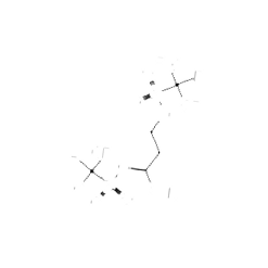 CC(CCOS(=O)(=O)C(F)(C(F)(F)F)C(F)(F)F)OS(=O)(=O)C(F)(C(F)(F)F)C(F)(F)F